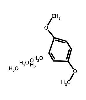 COc1ccc(OC)cc1.O.O.O.O